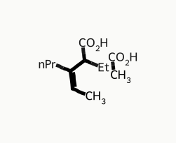 CC(=O)O.CC=C(CCC)C(CC)C(=O)O